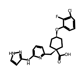 O=C(O)[C@]1(Cc2cccc(Nc3cc[nH]n3)n2)CC[C@@H](Oc2cccc(Cl)c2F)CC1